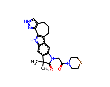 CC1(C)C(=O)N(CC(=O)N2CCSCC2)c2cc3c4c([nH]c3cc21)-c1n[nH]cc1CCC4